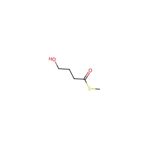 CSC(=O)CCCO